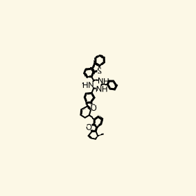 CC1CC=Cc2oc3c(C4CC=Cc5c4oc4cc(C6NC(c7ccccc7)NC(c7cccc8c7sc7ccccc78)N6)ccc54)cccc3c21